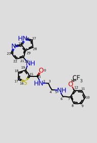 O=C(NCCNCc1ccccc1OC(F)(F)F)c1sccc1Nc1ccnc2[nH]ccc12